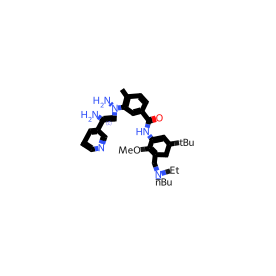 CCCCN(CC)CC1=C(OC)C(NC(=O)c2ccc(C)c(N(N)/C=C(\N)c3cccnc3)c2)=CC(C(C)(C)C)C1